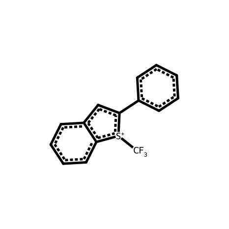 FC(F)(F)[s+]1c(-c2ccccc2)cc2ccccc21